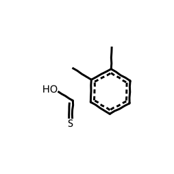 Cc1ccccc1C.OC=S